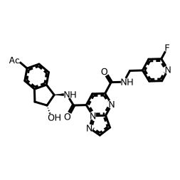 CC(=O)c1ccc2c(c1)C[C@@H](O)[C@@H]2NC(=O)c1cc(C(=O)NCc2ccnc(F)c2)nc2ccnn12